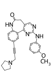 COc1cccc(Nc2ncc3c(n2)-c2cc(C#CCN4CCCC4)ccc2NC(=O)C3)c1